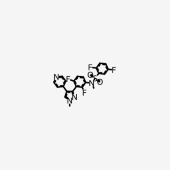 CN(c1ccc(F)c(-c2nn(C)cc2-c2ccncc2)c1F)S(=O)(=O)c1cc(F)ccc1F